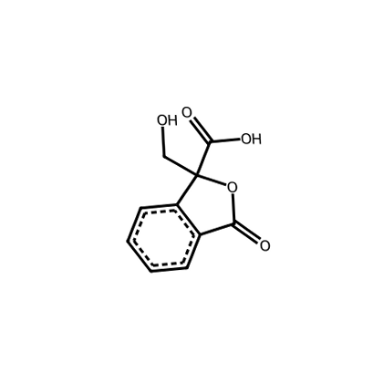 O=C1OC(CO)(C(=O)O)c2ccccc21